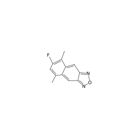 Cc1cc(F)c(C)c2cc3nonc3cc12